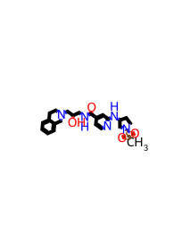 CS(=O)(=O)N1CCC(Nc2cc(C(=O)NCC(O)CN3CCc4ccccc4C3)ccn2)C1